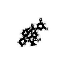 O=C(NC1(C(=O)O)CC1)c1cnc2n1[C@]1(Cc3ccc(-c4cccnc4)cc31)C(=O)N2c1cc(Cl)cc(Cl)c1